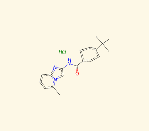 Cc1cccc2nc(NC(=O)c3ccc(C(C)(C)C)cc3)cn12.Cl